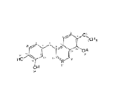 COc1ccc2c(Cc3ccc(O)c(O)c3)cncc2c1O